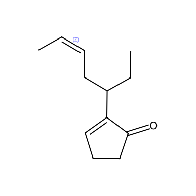 C/C=C\CC(CC)C1=CCCC1=O